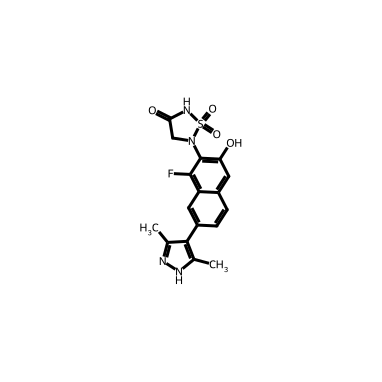 Cc1n[nH]c(C)c1-c1ccc2cc(O)c(N3CC(=O)NS3(=O)=O)c(F)c2c1